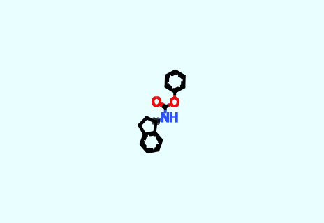 O=C(N[C@@H]1CCc2ccccc21)Oc1ccccc1